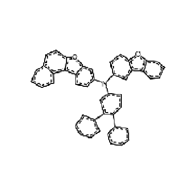 c1ccc(-c2ccc(N(c3ccc4c(c3)oc3ccc5ccccc5c34)c3ccc4oc5ccccc5c4c3)cc2-c2ccccc2)cc1